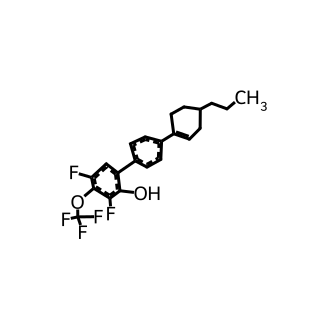 CCCC1CC=C(c2ccc(-c3cc(F)c(OC(F)(F)F)c(F)c3O)cc2)CC1